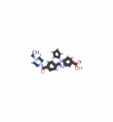 CCN1CCN(C(=O)c2ccc(-c3nc4cc(C(=O)O)ccc4n3C3CCCC3)cc2)CC1